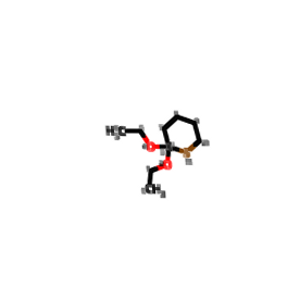 CCO[Si]1(OCC)CCCCS1